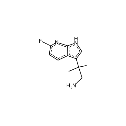 CC(C)(CN)c1c[nH]c2nc(F)ccc12